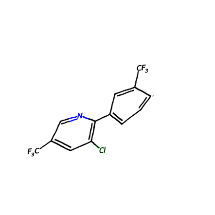 FC(F)(F)c1[c]ccc(-c2ncc(C(F)(F)F)cc2Cl)c1